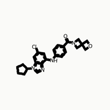 O=C(c1ccc(Nc2cc(Cl)cc3c2ncn3C2CCCC2)cc1)N1CC2(COC2)C1